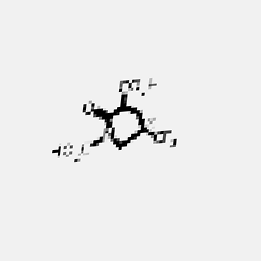 O=C(O)C1C[C@@H](C(F)(F)F)CN(C(=O)O)C1=O